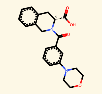 O=C(O)[C@H]1Cc2ccccc2CN1C(=O)c1cccc(N2CCOCC2)c1